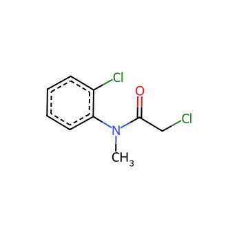 CN(C(=O)CCl)c1ccccc1Cl